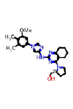 COc1cc(-n2cnc(Nc3nc4c(c(N5CCC[C@H]5CO)n3)CCCC4)c2)cc(C)c1C